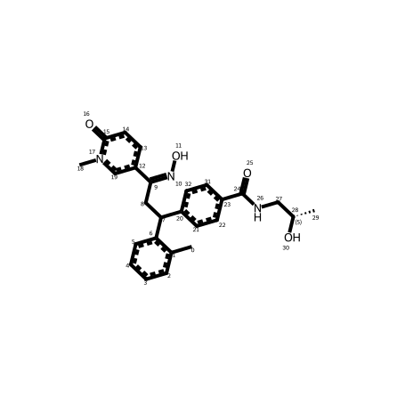 Cc1ccccc1C(CC(=NO)c1ccc(=O)n(C)c1)c1ccc(C(=O)NC[C@H](C)O)cc1